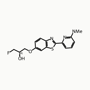 CNc1cccc(-c2nc3ccc(OC[C@@H](O)CF)cc3s2)n1